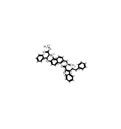 COC(=O)CC(Oc1ccc2cc(CN(C)C(=O)c3oc4ccccc4c3CCc3ccccc3)ccc2c1Br)c1ccccc1